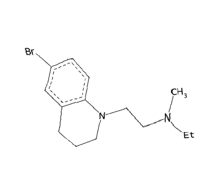 CCN(C)CCN1CCCc2cc(Br)ccc21